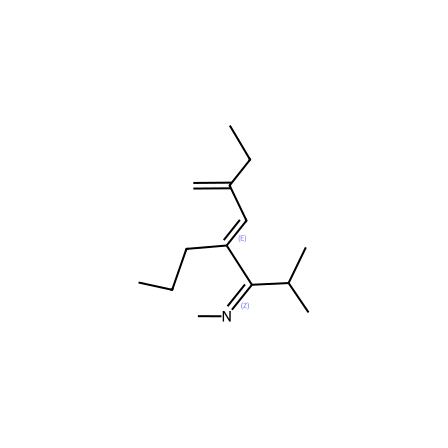 C=C(/C=C(CCC)/C(=N\C)C(C)C)CC